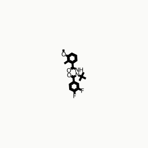 COc1cccc(C(=O)NN(C(=O)c2ccc(F)c(F)c2)C(C)(C)C)c1C